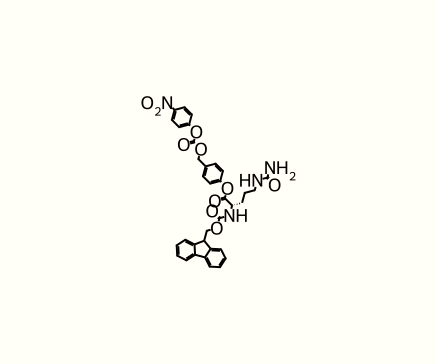 NC(=O)NCCC[C@H](NC(=O)OCC1c2ccccc2-c2ccccc21)C(=O)Oc1ccc(COC(=O)Oc2ccc([N+](=O)[O-])cc2)cc1